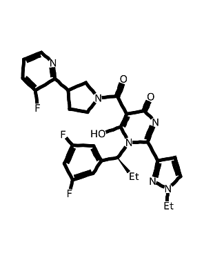 CC[C@@H](c1cc(F)cc(F)c1)n1c(-c2ccn(CC)n2)nc(=O)c(C(=O)N2CCC(c3ncccc3F)C2)c1O